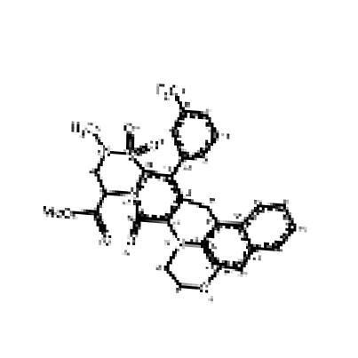 COC(=O)C1CN(C)S(=O)(=O)c2c(-c3cccc(C(F)(F)F)c3)c(Cc3cccc4ccccc34)c(N3CCOCC3)c(=O)n21